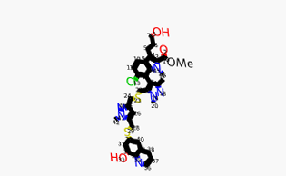 COC(=O)c1c(CCCO)c2ccc(Cl)c(-c3c(C)nn(C)c3CSCc3cc(CSc4cc(O)c5ncccc5c4)n(C)n3)c2n1C